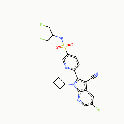 N#Cc1c(-c2ccc(S(=O)(=O)NC(CF)CF)cn2)n(C2CCC2)c2ncc(F)cc12